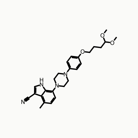 COC(CCCOc1ccc(N2CCN(c3ccc(C)c4c(C#N)c[nH]c34)CC2)cc1)OC